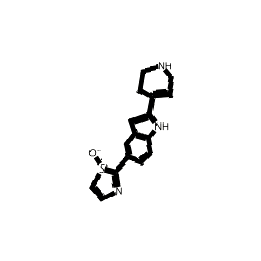 [O-][s+]1ccnc1-c1ccc2[nH]c(C3=CCNCC3)cc2c1